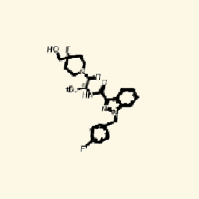 CC(C)(C)[C@H](NC(=O)c1nn(Cc2ccc(F)cc2)c2ccccc12)C(=O)N1CCC(F)(CO)CC1